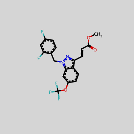 COC(=O)C=Cc1nn(Cc2ccc(F)cc2F)c2cc(OC(F)(F)F)ccc12